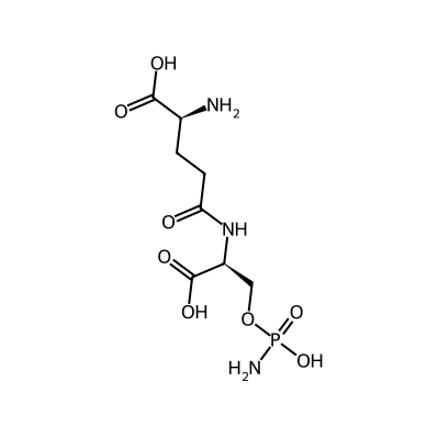 N[C@@H](CCC(=O)N[C@@H](COP(N)(=O)O)C(=O)O)C(=O)O